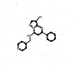 CC(C)c1cnn2c(NCc3ccncc3)cc(-c3ccccc3)nc12